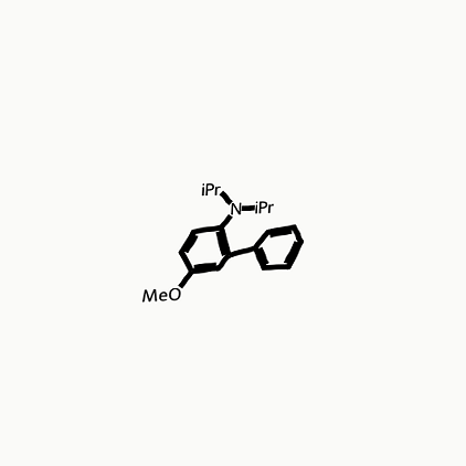 COc1ccc(N(C(C)C)C(C)C)c(-c2ccccc2)c1